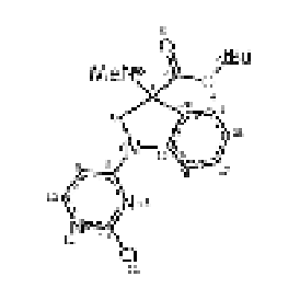 CNC1(C(=O)OC(C)(C)C)CN(c2ccnc(Cl)n2)c2ccccc21